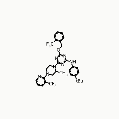 CC1CN(c2ncccc2C(F)(F)F)CCN1c1nc(Nc2ccc(C(C)(C)C)cc2)nc(OCc2ccccc2C(F)(F)F)n1